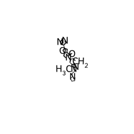 C=C/C(=C\c1cnn(CCN2CCCC2)c1C)n1ccc2oc(-c3cncnc3)cc2c1=O